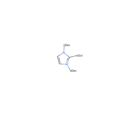 CCCCCCCCCCn1cc[n+](CCCCCCCCCC)c1CCCCCCCC